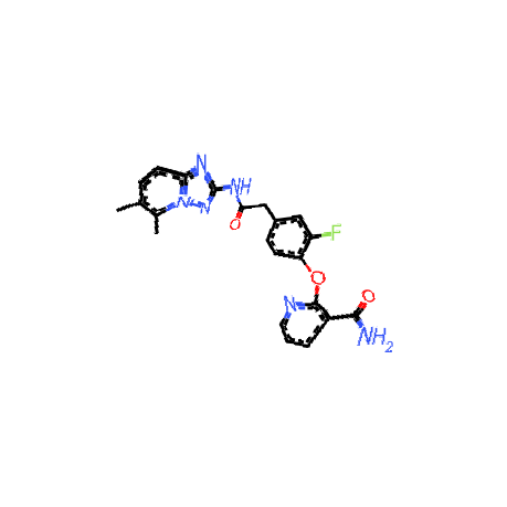 Cc1ccc2nc(NC(=O)Cc3ccc(Oc4ncccc4C(N)=O)c(F)c3)nn2c1C